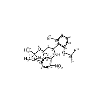 C[Si](C)(C)OC(C#N)CC(Nc1cc(Cl)ccc1[N+](=O)[O-])c1c(Br)cccc1OC(F)F